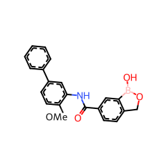 COc1ccc(-c2ccccc2)cc1NC(=O)c1ccc2c(c1)B(O)OC2